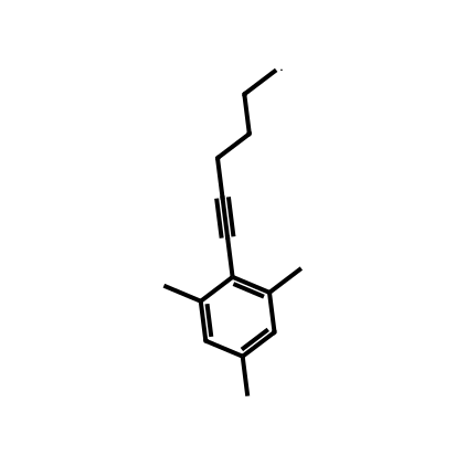 [CH2]CCCC#Cc1c(C)cc(C)cc1C